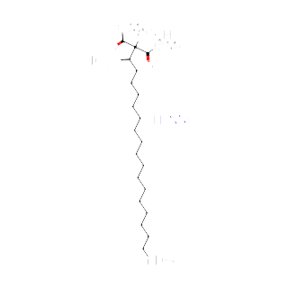 CCCCCCCCCCCCCCCCCCCCCCCCCCC(C(=O)O)C(C(=O)O)(C(=O)OC)C(=O)OC.N.N